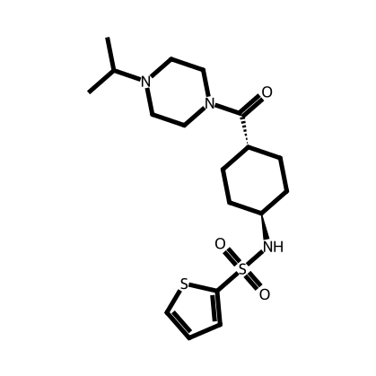 CC(C)N1CCN(C(=O)[C@H]2CC[C@H](NS(=O)(=O)c3cccs3)CC2)CC1